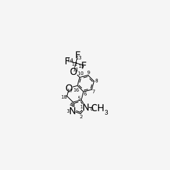 Cn1cnc2c1-c1cccc(OC(F)(F)F)c1OC2